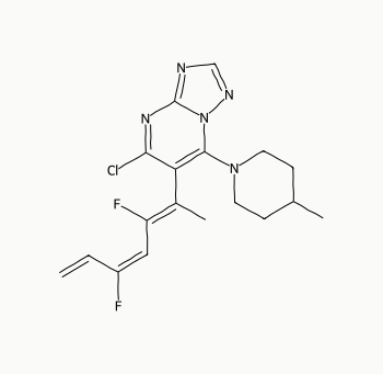 C=C/C(F)=C\C(F)=C(/C)c1c(Cl)nc2ncnn2c1N1CCC(C)CC1